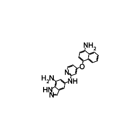 Nc1ccc(Oc2ccnc(Nc3cc(N)c4[nH]ncc4c3)c2)c2ccccc12